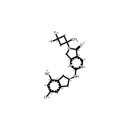 CC1(N2Cc3nc(N[C@H]4Cc5cc(Cl)cc(C#N)c5C4)ncc3C2=O)CC(F)(F)C1